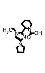 CCn1cc(N2CCCC2)nc1C1CCCCN1C(=O)O